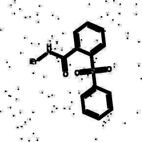 CC(C)NC(=O)c1ccccc1S(=O)(=O)c1ccccc1